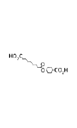 O=C(O)CCCCCCCC(=O)Oc1ccc(C(=O)O)cc1